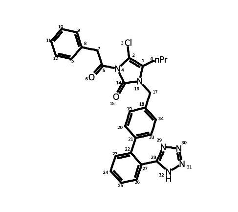 CCCc1c(Cl)n(C(=O)Cc2ccccc2)c(=O)n1Cc1ccc(-c2ccccc2-c2nnn[nH]2)cc1